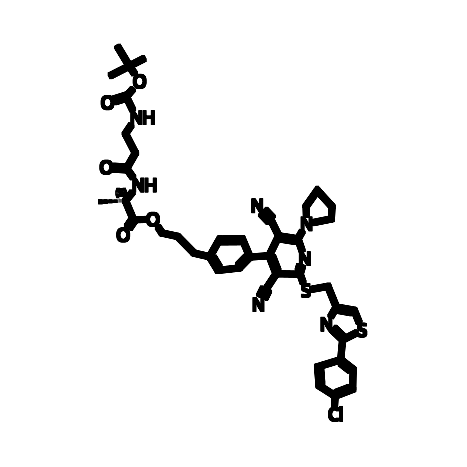 C[C@H](NC(=O)CCNC(=O)OC(C)(C)C)C(=O)OCCCc1ccc(-c2c(C#N)c(SCc3csc(-c4ccc(Cl)cc4)n3)nc(N3CCCC3)c2C#N)cc1